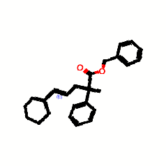 CC(C/C=C/C1CCCCC1)(C(=O)OCc1ccccc1)c1ccccc1